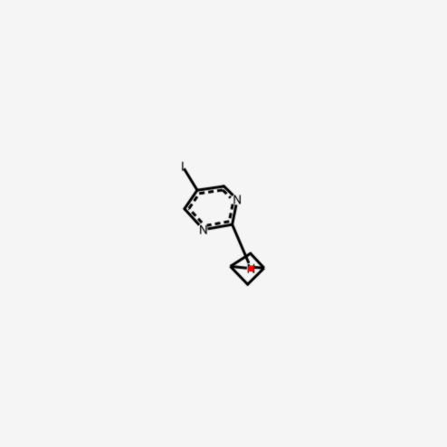 Ic1cnc(N2CC3CC2C3)nc1